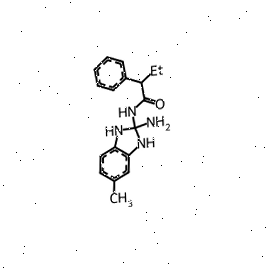 CCC(C(=O)NC1(N)Nc2ccc(C)cc2N1)c1ccccc1